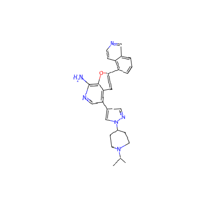 CC(C)N1CCC(n2cc(-c3cnc(N)c4oc(-c5cccc6cnccc56)cc34)cn2)CC1